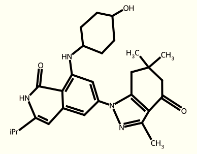 Cc1nn(-c2cc(NC3CCC(O)CC3)c3c(=O)[nH]c(C(C)C)cc3c2)c2c1C(=O)CC(C)(C)C2